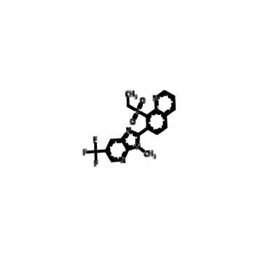 CCS(=O)(=O)c1c(-c2nc3cc(C(F)(F)F)cnc3n2C)ccc2cccnc12